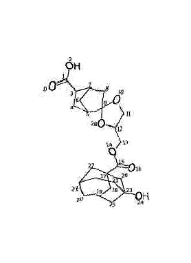 O=C(O)C1CC2CC1CC21OCC(COC(=O)C23CC4CC(CC(O)(C4)C2)C3)O1